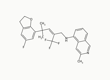 Cc1cc2c(NC/C(=C/C(C)(C)c3cc(F)cc4c3OCC4)C(F)(F)F)cccc2cn1